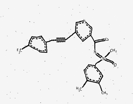 Cc1ccc(S(C)(=O)=NC(=O)c2cncc(C#Cc3ccc(C(F)(F)F)cc3)c2)cc1C